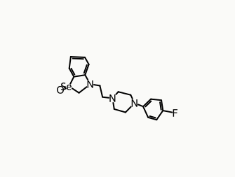 O=[Se]1CN(CCN2CCN(c3ccc(F)cc3)CC2)c2ccccc21